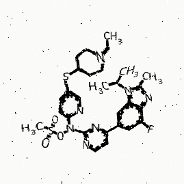 CCN1CCC(Sc2ccc(N(OS(C)(=O)=O)c3nccc(-c4cc(F)c5nc(C)n(C(C)C)c5c4)n3)nc2)CC1